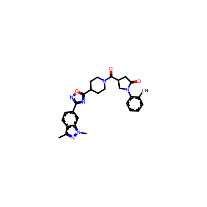 Cc1nn(C)c2cc(-c3noc(C4CCN(C(=O)C5CC(=O)N(c6ccccc6C#N)C5)CC4)n3)ccc12